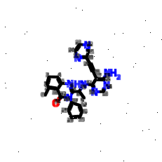 Cc1cccc2nc(C(C)Nc3ncnc(N)c3C#Cc3cnccn3)n(-c3ccccc3)c(=O)c12